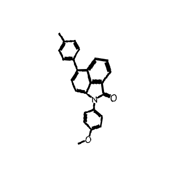 COc1ccc(N2C(=O)c3cccc4c(-c5ccc(C)cc5)ccc2c34)cc1